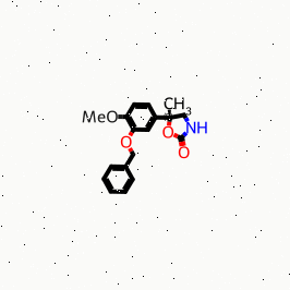 COc1ccc([C@]2(C)CNC(=O)O2)cc1OCc1ccccc1